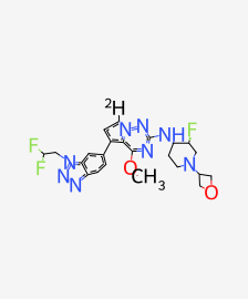 [2H]c1cc(-c2ccc3nnn(CC(F)F)c3c2)c2c(OC)nc(N[C@@H]3CCN(C4COC4)C[C@@H]3F)nn12